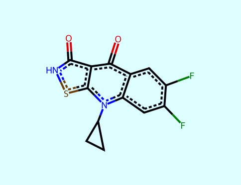 O=c1[nH]sc2c1c(=O)c1cc(F)c(F)cc1n2C1CC1